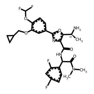 C[C@H](N)c1oc(-c2ccc(OC(F)F)c(OCC3CC3)c2)nc1C(=O)NC(C(=O)N(C)C)c1ccc(F)cc1F